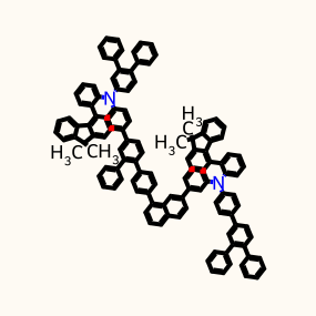 CC1(C)c2ccccc2-c2c(-c3ccccc3N(c3ccc(-c4ccc(-c5ccccc5)c(-c5ccccc5)c4)cc3)c3cccc(-c4ccc5cccc(-c6ccc(-c7ccc(-c8ccc(N(c9ccc(-c%10ccccc%10)c(-c%10ccccc%10)c9)c9ccccc9-c9cccc%10c9-c9ccccc9C%10(C)C)cc8)cc7-c7ccccc7)cc6)c5c4)c3)cccc21